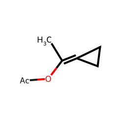 CC(=O)OC(C)=C1CC1